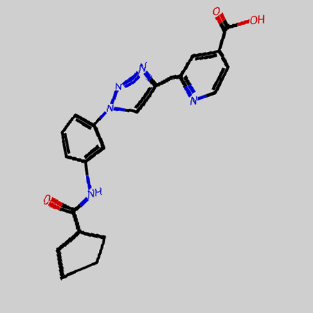 O=C(O)c1ccnc(-c2cn(-c3cccc(NC(=O)C4CCCC4)c3)nn2)c1